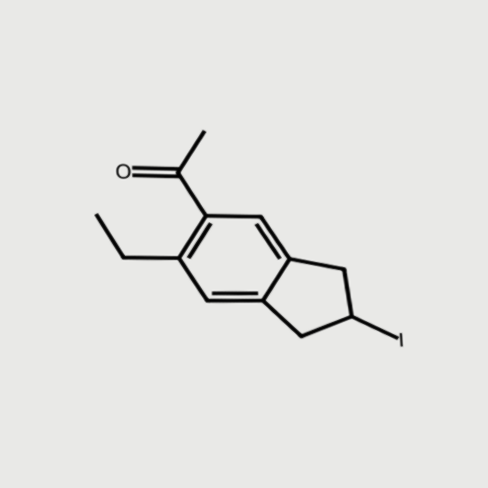 CCc1cc2c(cc1C(C)=O)CC(I)C2